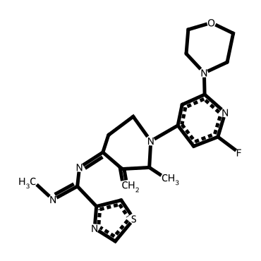 C=C1/C(=N\C(=N/C)c2cscn2)CCN(c2cc(F)nc(N3CCOCC3)c2)C1C